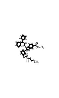 CCCCNc1nc2cccc(-c3nc4cc(C(=O)OC)ccc4n3CCC(c3ccccc3)c3ccccc3)c2s1